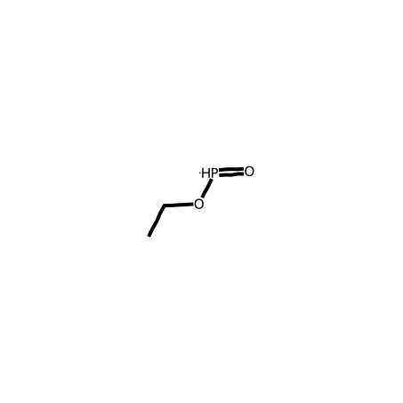 CCO[PH]=O